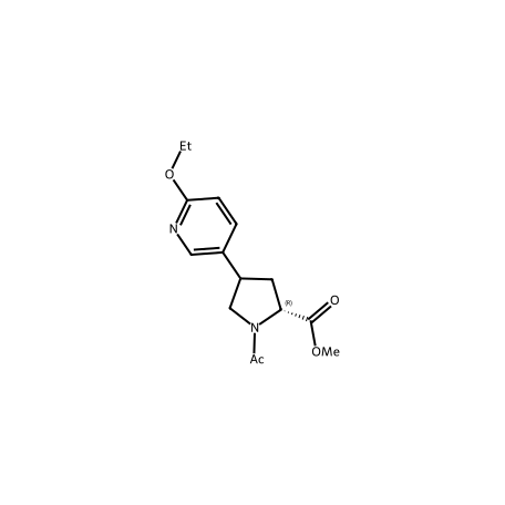 CCOc1ccc(C2C[C@H](C(=O)OC)N(C(C)=O)C2)cn1